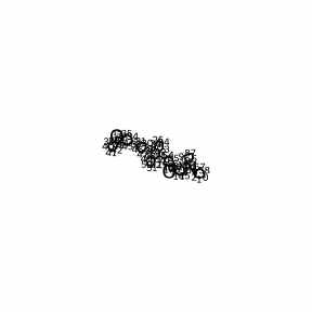 c1ccc(-n2c3ccccc3c3c4c(ccc32)oc2cc(-c3c5ccccc5c(-c5ccc(-c6ccc7oc8ccccc8c7c6)cc5)c5ccccc35)ccc24)cc1